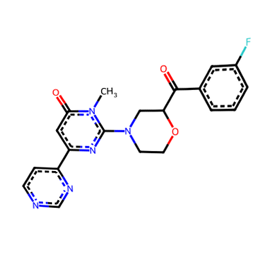 Cn1c(N2CCOC(C(=O)c3cccc(F)c3)C2)nc(-c2ccncn2)cc1=O